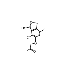 CC(=O)COc1cc(F)c2c(c1Cl)B(O)OC2